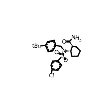 CC(C)(C)c1ccc(CN([C@@H]2CCCC[C@@H]2C(N)=O)S(=O)(=O)c2ccc(Cl)cc2)cc1